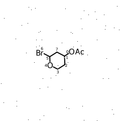 CC(=O)OC1CCOC(Br)C1